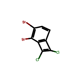 ClC1=C(Cl)c2c1ccc(Br)c2Br